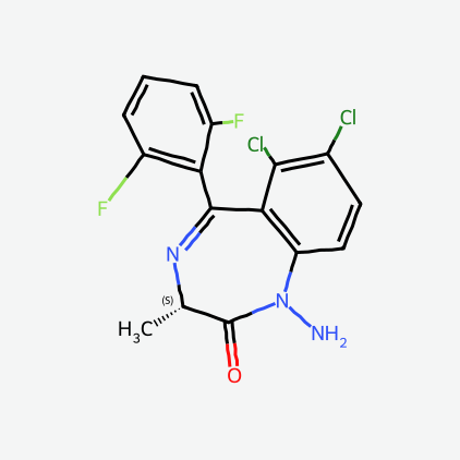 C[C@@H]1N=C(c2c(F)cccc2F)c2c(ccc(Cl)c2Cl)N(N)C1=O